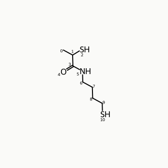 CC(S)C(=O)NCCCCS